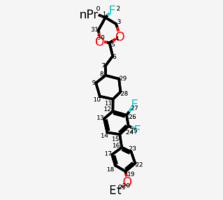 CCCC1(F)COC(CCC2CCC(c3ccc(-c4ccc(OCC)cc4)c(F)c3F)CC2)OC1